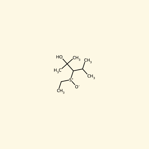 CC[S+]([O-])C(C(C)C)C(C)(C)O